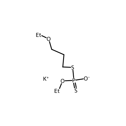 CCOCCCSP([O-])(=S)OCC.[K+]